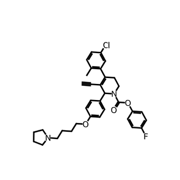 C#CC1=C(c2cc(Cl)ccc2C)CCN(C(=O)Oc2ccc(F)cc2)C1c1ccc(OCCCCN2CCCC2)cc1